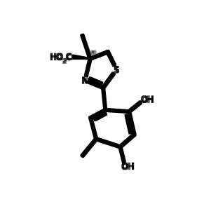 CC1C=C(C2=N[C@@](C)(C(=O)O)CS2)C(O)=CC1O